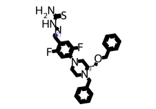 NC(=S)N/N=C/c1cc(F)c(N2CCN(Cc3ccccc3)[C@@H](COCc3ccccc3)C2)cc1F